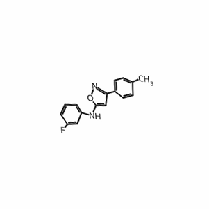 Cc1ccc(-c2cc(Nc3cccc(F)c3)on2)cc1